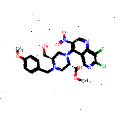 COC(=O)[C@@H]1CN(Cc2ccc(OC)cc2)[C@@H](CO)CN1c1c([N+](=O)[O-])cnc2c(F)c(Cl)ncc12